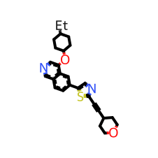 CCC1CCC(Oc2cncc3ccc(-c4cnc(C#CC5CCOCC5)s4)cc23)CC1